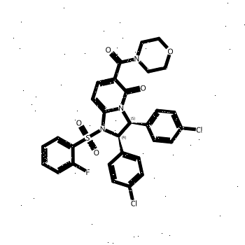 O=C(c1ccc2n(c1=O)[C@@H](c1ccc(Cl)cc1)[C@@H](c1ccc(Cl)cc1)N2S(=O)(=O)c1ccccc1F)N1CCOCC1